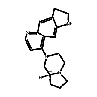 c1cc(N2CCN3CCC[C@@H]3C2)c2cc3c(cc2n1)CCN3